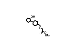 CC(C)(C)OC(=O)COCC1CCN([C@@H]2CCC[C@H]2O)CC1